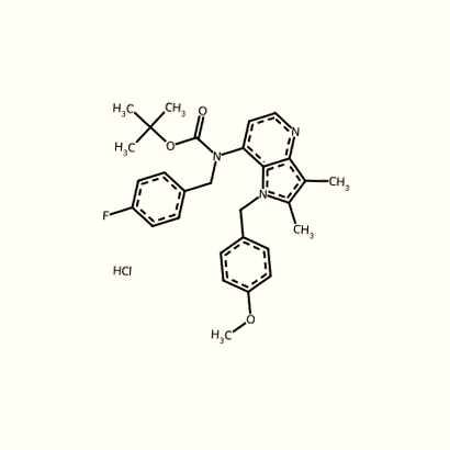 COc1ccc(Cn2c(C)c(C)c3nccc(N(Cc4ccc(F)cc4)C(=O)OC(C)(C)C)c32)cc1.Cl